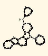 c1ccc(Nc2ccc3c(c2)c2c4sc5ccccc5c4ccc2n3-c2ccccc2)cc1